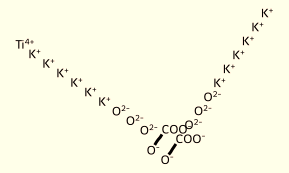 O=C([O-])[O-].O=C([O-])[O-].[K+].[K+].[K+].[K+].[K+].[K+].[K+].[K+].[K+].[K+].[K+].[K+].[O-2].[O-2].[O-2].[O-2].[O-2].[O-2].[Ti+4]